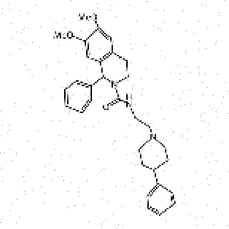 COc1cc2c(cc1OC)C(c1ccccc1)N(C(=O)NCCN1CCC(c3ccccc3)CC1)CC2